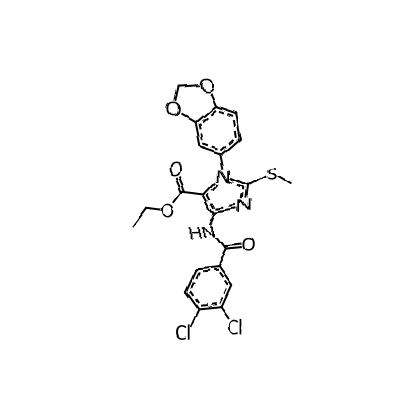 CCOC(=O)c1c(NC(=O)c2ccc(Cl)c(Cl)c2)nc(SC)n1-c1ccc2c(c1)OCO2